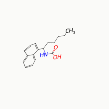 CCCCCC(NC(=O)O)c1cccc2ccccc12